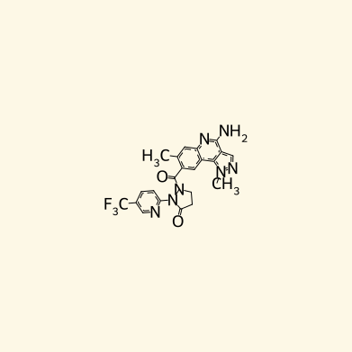 Cc1cc2nc(N)c3cnn(C)c3c2cc1C(=O)N1CCC(=O)N1c1ccc(C(F)(F)F)cn1